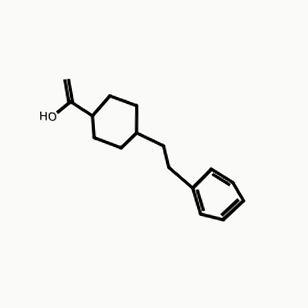 C=C(O)C1CCC(CCc2ccccc2)CC1